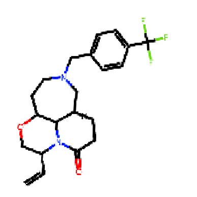 C=C[C@H]1COC2CCN(Cc3ccc(C(F)(F)F)cc3)C[C@H]3CCC(=O)N1C23